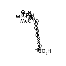 COC[C@@H](C)n1c(C2CCN(C(=O)COCCOCCOCCOCCOCCOCCOCCNC(=O)O)CC2)nc2cnc3cc(-c4c(C)noc4C)c(OC)cc3c21